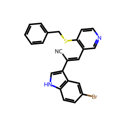 N#CC(=Cc1cnccc1SCc1ccccc1)c1c[nH]c2ccc(Br)cc12